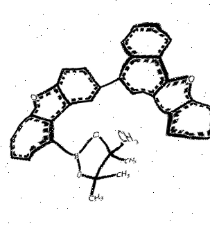 CC1(C)OB(c2cccc3oc4ccc(-c5cc6c7ccccc7oc6c6ccccc56)cc4c23)OC1(C)C